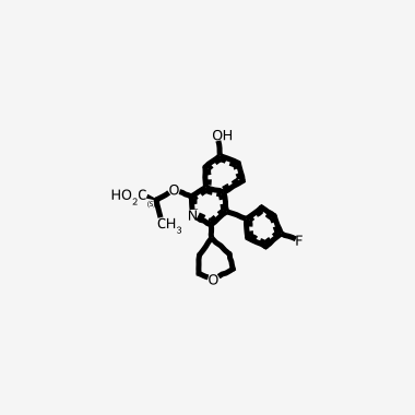 C[C@H](Oc1nc(C2CCOCC2)c(-c2ccc(F)cc2)c2ccc(O)cc12)C(=O)O